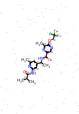 Cc1cc(C(C)NC(=O)c2cnc(OCC(F)(F)F)c(C)n2)cc(NC(=O)C(C)C)n1